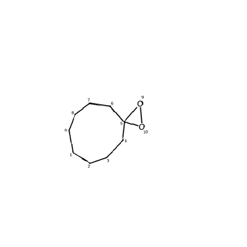 C1CCCCC2(CCC1)OO2